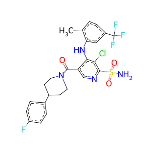 Cc1ccc(C(F)(F)F)cc1Nc1c(C(=O)N2CCC(c3ccc(F)cc3)CC2)cnc(S(N)(=O)=O)c1Cl